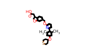 Cc1cc(OC2CCSCC2)cc(C)c1-c1cccc(OCc2ccc3c(c2)OCC3CC(=O)O)n1